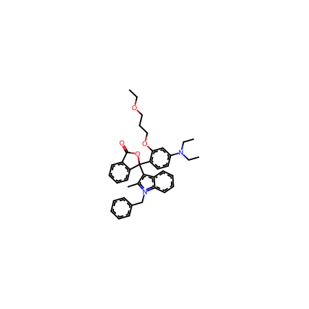 CCOCCCOc1cc(N(CC)CC)ccc1C1(c2c(C)n(Cc3ccccc3)c3ccccc23)OC(=O)c2ccccc21